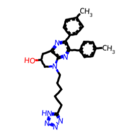 Cc1ccc(-c2nc3c(nc2-c2ccc(C)cc2)N(CCCCCc2nnn[nH]2)CC(O)C3)cc1